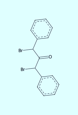 O=C(C(Br)c1ccccc1)C(Br)c1ccccc1